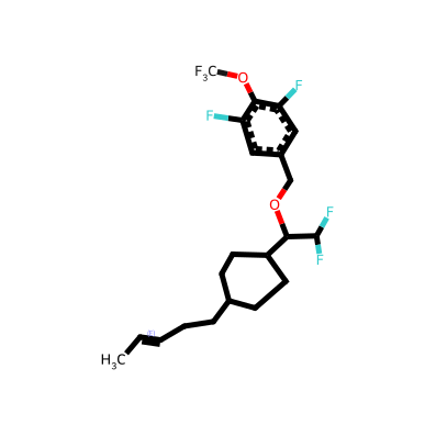 C/C=C/CCC1CCC(C(OCc2cc(F)c(OC(F)(F)F)c(F)c2)C(F)F)CC1